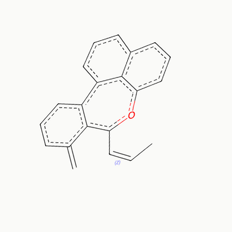 C=c1cccc2c1c(/C=C\C)oc1cccc3cccc2c31